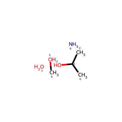 CC(C)O.CO.N.O